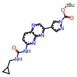 CC(C)(C)OC(=O)n1cc(-c2cnc3ccc(NC(=O)NCC4CC4)nc3n2)cn1